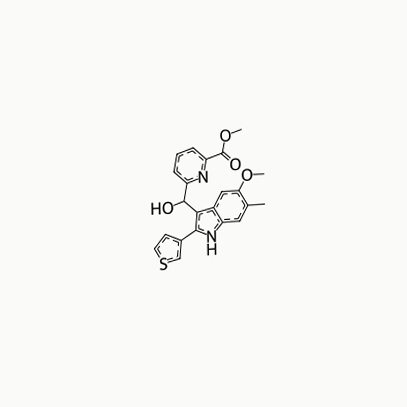 COC(=O)c1cccc(C(O)c2c(-c3ccsc3)[nH]c3cc(C)c(OC)cc23)n1